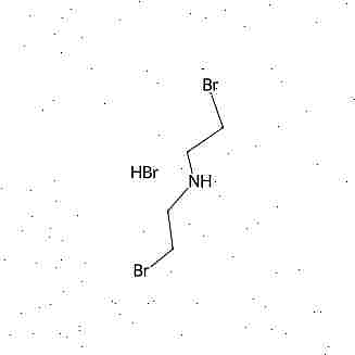 Br.BrCCNCCBr